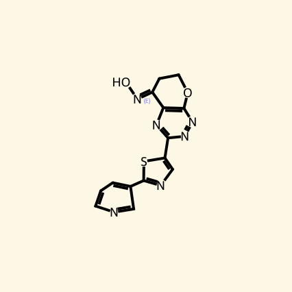 O/N=C1\CCOc2nnc(-c3cnc(-c4cccnc4)s3)nc21